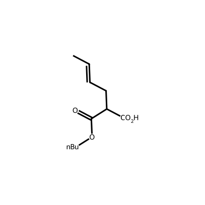 CC=CCC(C(=O)O)C(=O)OCCCC